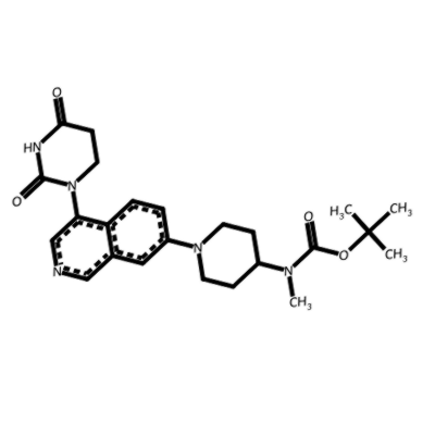 CN(C(=O)OC(C)(C)C)C1CCN(c2ccc3c(N4CCC(=O)NC4=O)cncc3c2)CC1